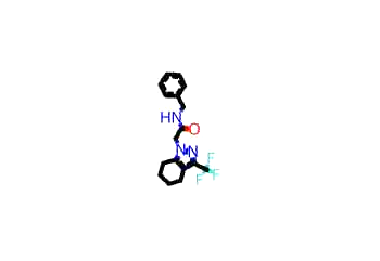 O=C(Cn1nc(C(F)(F)F)c2c1CCCC2)NCc1ccccc1